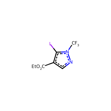 CCOC(=O)c1cnn(C(F)(F)F)c1I